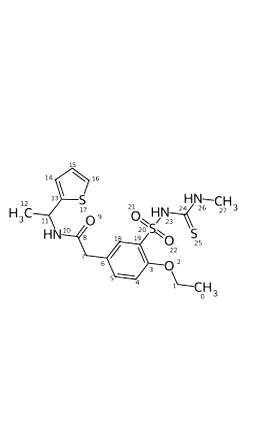 CCOc1ccc(CC(=O)NC(C)c2cccs2)cc1S(=O)(=O)NC(=S)NC